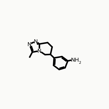 Cc1nnc2n1CC(c1cccc(N)c1)CC2